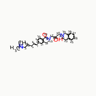 CN(C)CCCC=Cc1ccc2c(c1)CCN(C[C@H](O)CN1CCc3ccccc3C1)C2=O